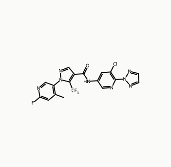 Cc1cc(F)ncc1-n1ncc(C(=O)Nc2cnc(-n3nccn3)c(Cl)c2)c1C(F)(F)F